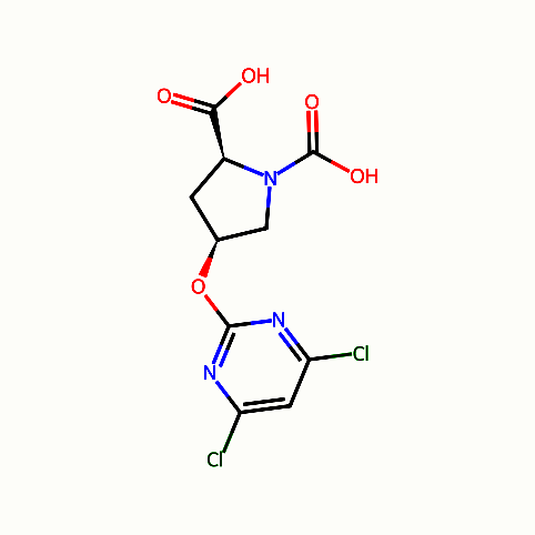 O=C(O)[C@@H]1C[C@H](Oc2nc(Cl)cc(Cl)n2)CN1C(=O)O